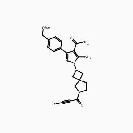 CCC#CC(=O)N1CC[C@]2(C1)C[C@H](n1nc(-c3ccc(COC)cc3)c(C(N)=O)c1N)C2